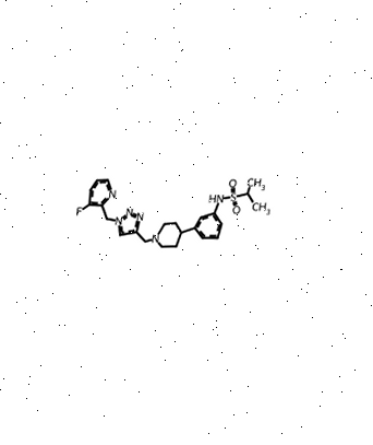 CC(C)S(=O)(=O)Nc1cccc(C2CCN(Cc3cn(Cc4ncccc4F)nn3)CC2)c1